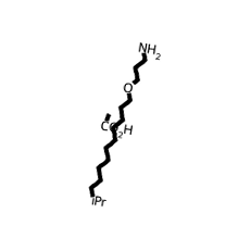 CC(=O)O.CC(C)CCCCCCCCCCOCCCN